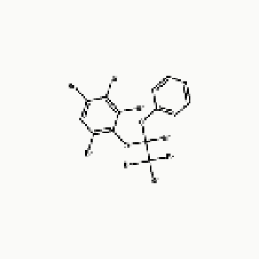 Brc1cc(Br)c(OC(Br)(Oc2ccccc2)C(Br)(Br)Br)c(Br)c1Br